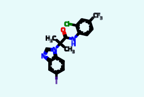 CC(C)(C(=O)Nc1ccc(C(F)(F)F)cc1Cl)n1cnc2cc(I)ccc21